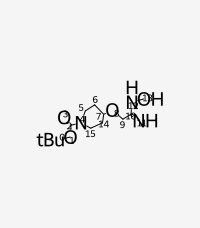 CC(C)(C)OC(=O)N1CCC(OCC(=N)NO)CC1